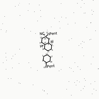 CCCCCC1CCC([C@H]2CC[C@@H]3C[C@](C#N)(CCCCC)CC[C@@H]3C2)CC1